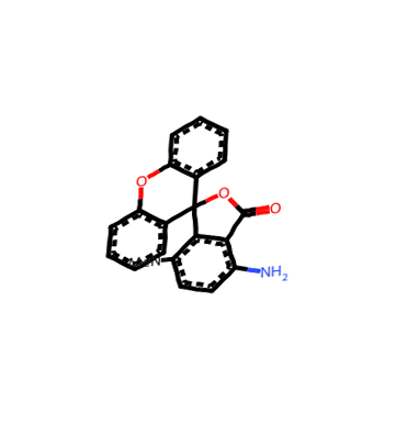 CNc1ccc(N)c2c1C1(OC2=O)c2ccccc2Oc2ccccc21